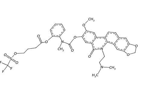 COc1cc2c(cc1OC(=O)N(C)c1ccccc1OC(=O)CCCOS(=O)(=O)C(F)(F)F)c(=O)n(CCN(C)C)c1c3cc4c(cc3ccc21)OCO4